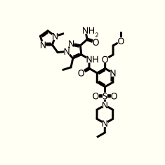 CCc1c(NC(=O)c2cc(S(=O)(=O)N3CCN(CC)CC3)cnc2OCCOC)c(C(N)=O)nn1Cc1nccn1C